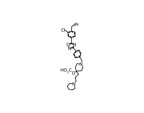 CC(C)Cc1ccc(-c2nc(-c3ccc(CN4CCC(CCCN5CCCCC5)(OC(=O)O)CC4)cc3)no2)cc1Cl